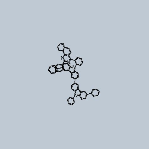 c1ccc(-c2ccc3c(c2)c2cc(-c4ccc5c(c4)c4cc(-c6ccccc6)ccc4n5-c4ccccc4-c4nc(-c5ccccc5)nc5c4ccc4ccccc45)ccc2n3-c2ccccc2)cc1